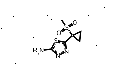 CS(=O)(=O)C1(c2nnc(N)s2)CC1